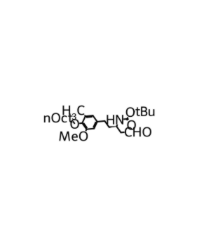 CCCCCCCCOc1c(C)cc(CC[C@H](CC=O)NC(=O)OC(C)(C)C)cc1OC